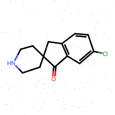 O=C1c2cc(Cl)ccc2CC12CCNCC2